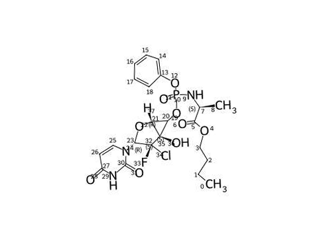 CCCCOC(=O)[C@H](C)NP(=O)(Oc1ccccc1)OC1[C@H]2O[C@@H](n3ccc(=O)[nH]c3=O)[C@@](F)(Cl)[C@@]12O